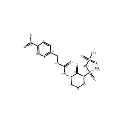 N[P@@](=O)(NS(=O)(=O)O)N1CCC[C@H](NC(=O)OCc2ccc([N+](=O)[O-])cc2)C1=O